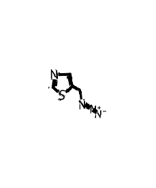 [N-]=[N+]=NCc1cn[c]s1